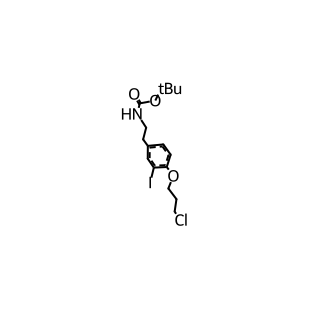 CC(C)(C)OC(=O)NCCc1ccc(OCCCCl)c(I)c1